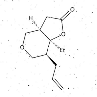 C=CC[C@H]1COC[C@H]2CC(=O)O[C@@]12CC